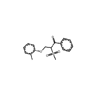 Cc1ccccc1OCC(C(=O)c1ccccc1)S(C)(=O)=O